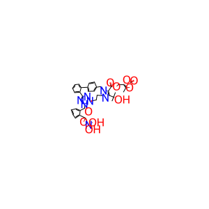 CCCc1nc(C(C)(C)O)c(C(=O)OCc2oc(=O)oc2C)n1Cc1ccc(-c2ccccc2-c2nnn(C(=O)c3ccccc3CON(O)O)n2)cc1